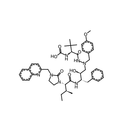 CC[C@H](C)[C@@H](C(=O)N[C@@H](Cc1ccccc1)[C@@H](O)CN(Cc1ccc(OC)cc1)NC(=O)[C@@H](NC(=O)O)C(C)(C)C)N1CCN(Cc2ccc3ccccc3n2)C1=O